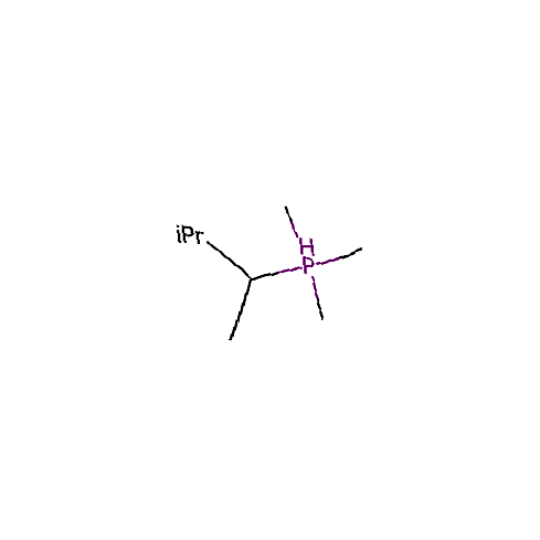 CC(C)C(C)[PH](C)(C)C